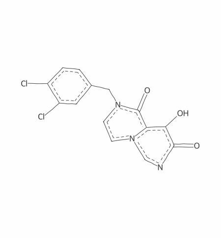 O=c1ncn2ccn(Cc3ccc(Cl)c(Cl)c3)c(=O)c2c1O